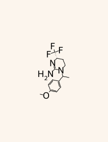 COc1ccc(C(C)N2CC[C@@H](C(F)(F)F)N=C2N)cc1